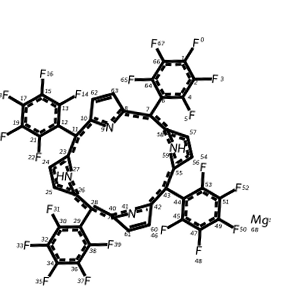 Fc1c(F)c(F)c(-c2c3nc(c(-c4c(F)c(F)c(F)c(F)c4F)c4ccc([nH]4)c(-c4c(F)c(F)c(F)c(F)c4F)c4nc(c(-c5c(F)c(F)c(F)c(F)c5F)c5ccc2[nH]5)C=C4)C=C3)c(F)c1F.[Mg]